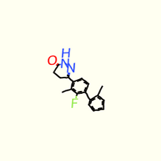 Cc1ccccc1-c1ccc(C2=NNC(=O)CC2)c(C)c1F